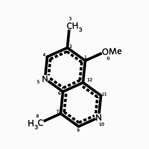 COc1c(C)cnc2c(C)cncc12